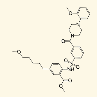 COCCCCCc1ccc(NS(=O)(=O)c2cccc(C(=O)N3CCN(c4ccccc4OC)CC3)c2)c(C(=O)OC)c1